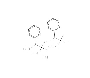 CCCC(c1ccccc1)C(C)(C)C(=O)[O-].CCCC(c1ccccc1)C(C)(C)C(=O)[O-].[Hg+2]